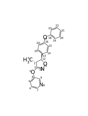 C[C@H]1C(Oc2cccnc2)=NO[C@@H]1c1ccc(Oc2ccccc2)cc1